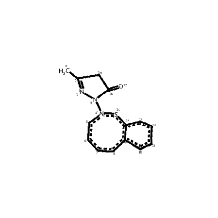 CC1=NN(n2ccccc3ccccc3s2)C(=O)C1